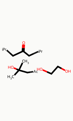 CC(=O)CC(C)(C)O.CC(C)CC(=O)CC(C)C.OCCO